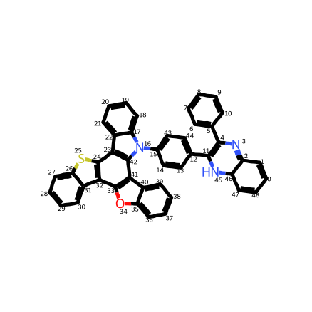 C1=CC2=NC(c3ccccc3)=C(c3ccc(-n4c5ccccc5c5c6sc7ccccc7c6c6oc7ccccc7c6c54)cc3)NC2C=C1